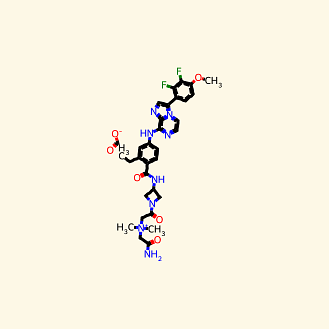 CCc1cc(Nc2nccn3c(-c4ccc(OC)c(F)c4F)cnc23)ccc1C(=O)NC1CN(C(=O)C[N+](C)(C)CC(N)=O)C1.O=C[O-]